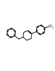 FC(F)(F)c1ccc(C2=CCC(Cc3ccccc3)CC2)cc1